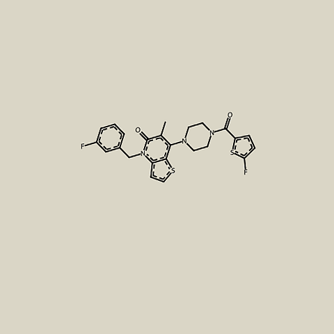 Cc1c(N2CCN(C(=O)c3ccc(F)s3)CC2)c2sccc2n(Cc2cccc(F)c2)c1=O